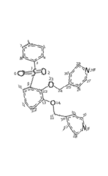 O=S(=O)(c1cc[c]cc1)c1cc[c]c(OCc2ccncc2)c1OCc1ccncc1